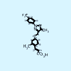 Cc1cc(SCc2nn(-c3ccc(C(F)(F)F)cc3)nc2C)ccc1/C=C/C(=O)O